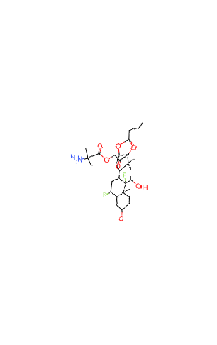 CCCC1OC2CC3C4C[C@H](F)C5=CC(=O)C=CC5(C)[C@@]4(F)C(O)CC3(C)C2(C(=O)COC(=O)C(C)(C)N)O1